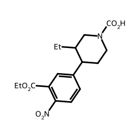 CCOC(=O)c1cc(C2CCN(C(=O)O)CC2CC)ccc1[N+](=O)[O-]